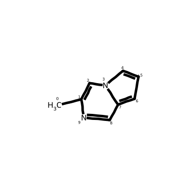 Cc1cn2c[c]cc2cn1